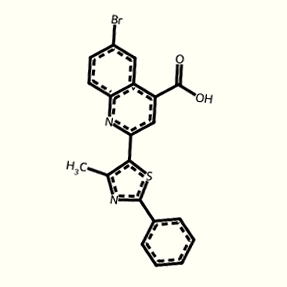 Cc1nc(-c2ccccc2)sc1-c1cc(C(=O)O)c2cc(Br)ccc2n1